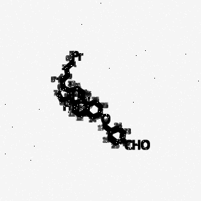 CC(C)CCC[C@@H](C)[C@H]1CC[C@H]2[C@@H]3CC=C4C[C@@H](OCc5ccc(C=O)cc5)CC[C@]4(C)[C@H]3CC[C@]12C